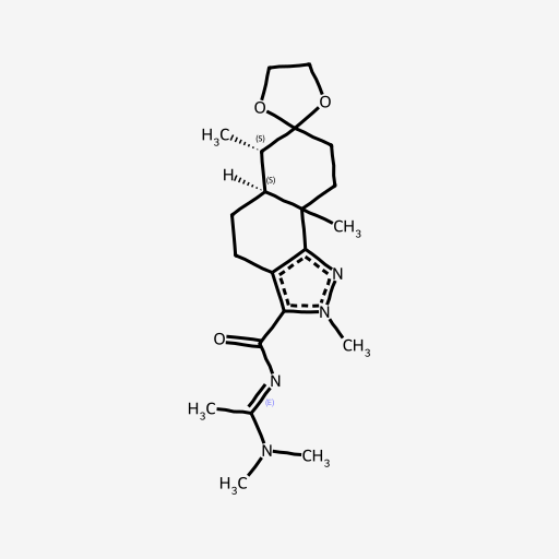 C/C(=N\C(=O)c1c2c(nn1C)C1(C)CCC3(OCCO3)[C@@H](C)[C@@H]1CC2)N(C)C